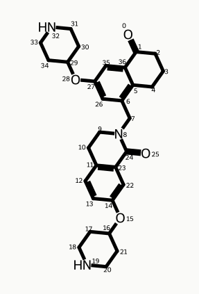 O=C1CCCc2c(CN3CCc4ccc(OC5CCNCC5)cc4C3=O)cc(OC3CCNCC3)cc21